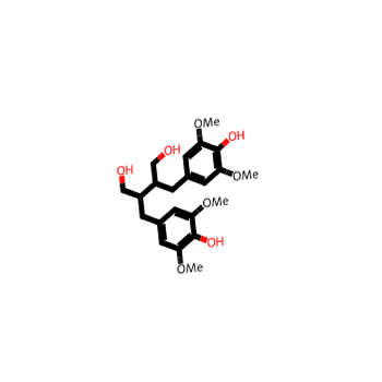 COc1cc(CC(CO)C(CO)Cc2cc(OC)c(O)c(OC)c2)cc(OC)c1O